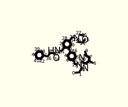 CCc1nc2c(C)cc(C)nc2n1Cc1ccc(-c2cc(CN3CCOCC3)ccc2CNC(=O)CCc2ccccc2)cc1